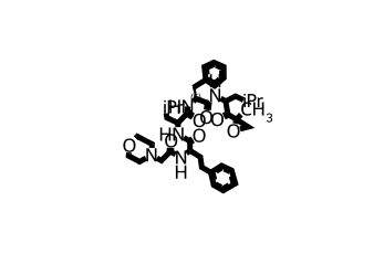 CC(C)CC(NC(=O)C(CCc1ccccc1)NC(=O)CN1CCOCC1)C(=O)N[C@@H](Cc1ccccc1)C(=O)NC(CC(C)C)C(=O)C1(C)CO1